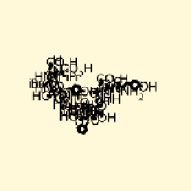 CC[C@H](C)[C@H](NC(=O)[C@H](CO)NC(=O)[C@H](Cc1ccc(O)cc1)NC(=O)[C@H](CC(=O)O)NC(=O)[C@H](CO)NC(=O)[C@@H](NC(=O)[C@H](Cc1ccccc1)NC(=O)[C@@H](NC(=O)CNC(=O)[C@H](CCC(=O)O)NC(=O)C(C)(C)NC(=O)[C@@H](N)Cc1ccc(O)cc1)[C@@H](C)O)[C@@H](C)CC)C(=O)N[C@@H](CCC(=O)O)C(=O)N[C@@H](CC(C)C)C(=O)O